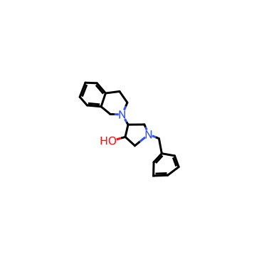 OC1CN(Cc2ccccc2)CC1N1CCc2ccccc2C1